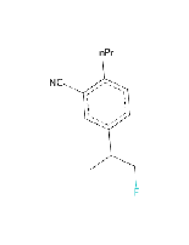 CCCc1ccc([C](C)CF)cc1C#N